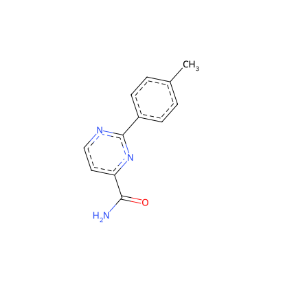 Cc1ccc(-c2nccc(C(N)=O)n2)cc1